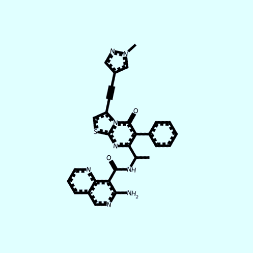 CC(NC(=O)c1c(N)ncc2cccnc12)c1nc2scc(C#Cc3cnn(C)c3)n2c(=O)c1-c1ccccc1